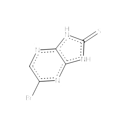 S=c1[nH]c2ncc(Br)nc2[nH]1